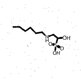 CCCCCCNCC(O)S(=O)(=O)O